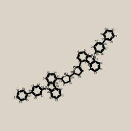 C1=C(c2cccc3c2c2ccccc2n3-c2ccc(-c3ccccc3)cc2)SC(C2CCC(c3cccc4c3c3ccccc3n4-c3ccc(-c4ccccc4)cc3)S2)C1